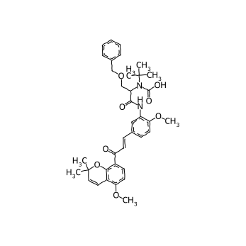 COc1ccc(C=CC(=O)c2ccc(OC)c3c2OC(C)(C)C=C3)cc1NC(=O)C(COCc1ccccc1)N(C(=O)O)C(C)(C)C